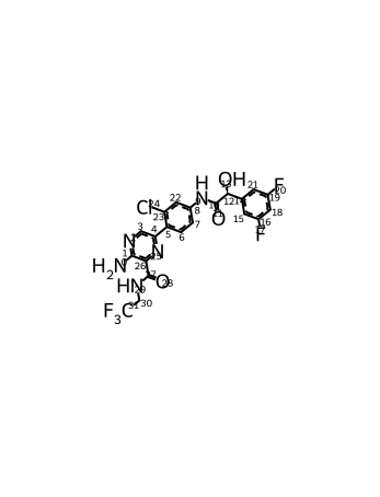 Nc1ncc(-c2ccc(NC(=O)[C@@H](O)c3cc(F)cc(F)c3)cc2Cl)nc1C(=O)NCC(F)(F)F